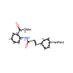 CCCCCc1ccc(/C=C/C(=O)Nc2ccccc2C(=O)OC)cc1